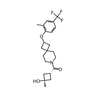 Cc1cc(C(F)(F)F)ccc1OC1CC2(CCN(C(=O)[C@H]3C[C@@](C)(O)C3)CC2)C1